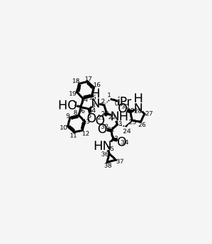 CC(C)C[C@@H](NC(=O)C(O)(c1ccccc1)c1ccccc1)C(=O)N[C@H](C[C@@H]1CCNC1=O)C(=O)C(=O)NC1CC1